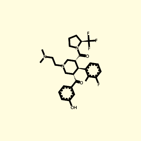 Cc1c(F)cccc1[C@@H]1[C@@H](C(=O)N2CCC[C@H]2C(F)(F)F)CN(CCN(C)C)C[C@H]1C(=O)c1cccc(O)c1